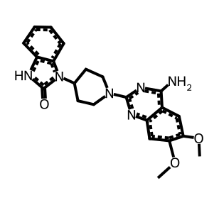 COc1cc2nc(N3CCC(n4c(=O)[nH]c5ccccc54)CC3)nc(N)c2cc1OC